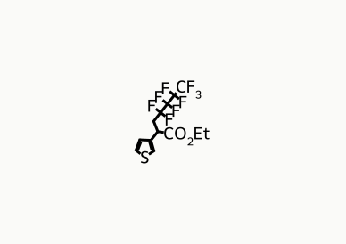 CCOC(=O)C(CC(F)(F)C(F)(F)C(F)(F)C(F)(F)F)c1ccsc1